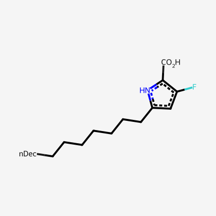 CCCCCCCCCCCCCCCCCc1cc(F)c(C(=O)O)[nH]1